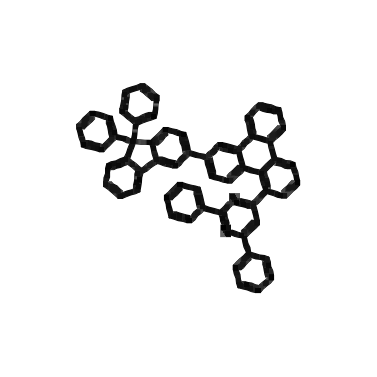 c1ccc(-c2cc(-c3cccc4c5ccccc5c5cc(-c6ccc7c(c6)-c6ccccc6C7(c6ccccc6)c6ccccc6)ccc5c34)nc(-c3ccccc3)n2)cc1